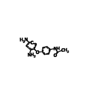 CC(=O)Nc1ccc(Oc2ccc(N)cc2N)cc1